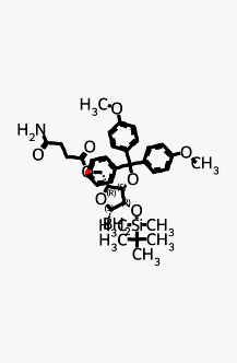 B[C@@H]1O[C@H](COC(=O)CCC(N)=O)[C@H](OC(c2ccccc2)(c2ccc(OC)cc2)c2ccc(OC)cc2)[C@@H]1O[Si](C)(C)C(C)(C)C